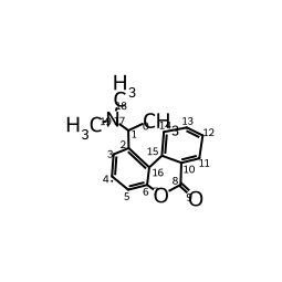 CC(c1c[c]cc2oc(=O)c3ccccc3c12)N(C)C